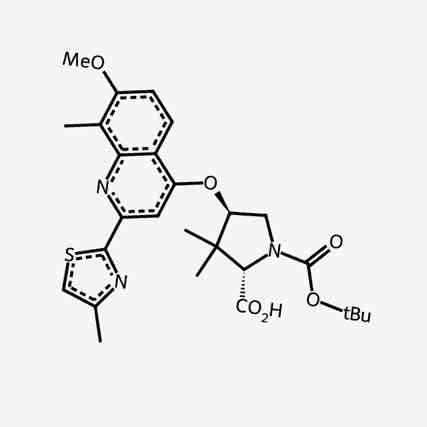 COc1ccc2c(O[C@H]3CN(C(=O)OC(C)(C)C)[C@H](C(=O)O)C3(C)C)cc(-c3nc(C)cs3)nc2c1C